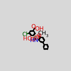 COc1ccc(-c2ccccc2)cc1NS(=O)(=O)c1cc(C(=O)O)cc(Cl)c1O